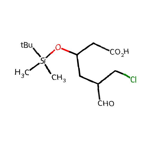 CC(C)(C)[Si](C)(C)OC(CC(=O)O)CC(C=O)CCl